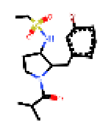 CCS(=O)(=O)NC1CCN(C(=O)C(C)C)C1Cc1cccc(Br)c1